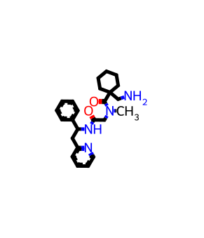 CN(CC(=O)NC(Cc1ccccn1)c1ccccc1)C(=O)C1(CN)CCCCC1